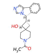 CC(=O)N1CCC2(CC1)C[C@@H]([C@H]1c3ccccc3-c3cncn31)[C@H]2O